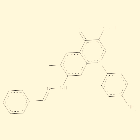 Nc1ccc(-n2cc(C(=O)O)c(=O)c3cc(F)c(N/N=C/c4ccccc4)cc32)cc1